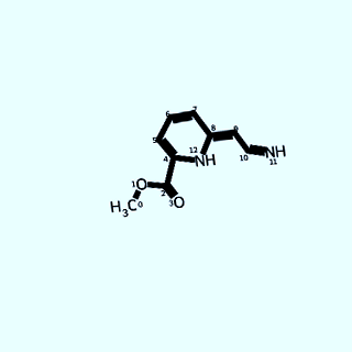 COC(=O)C1=CC=C/C(=C/C=N)N1